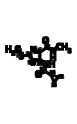 CNC(=O)c1nc(SC)sc1NC(=O)C1CC1